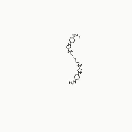 C[N+](C)(CCCCCC[N+](C)(C)C1CCN(c2ccc(N)cc2)C1)C1CCN(c2ccc(N)cc2)C1